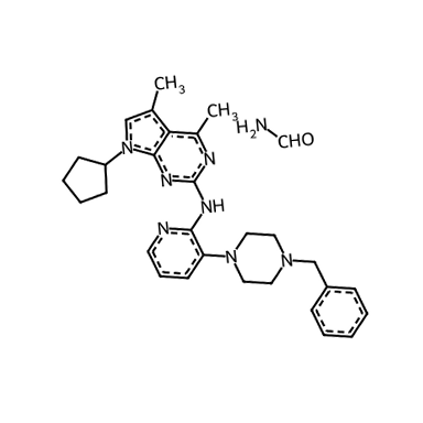 Cc1cn(C2CCCC2)c2nc(Nc3ncccc3N3CCN(Cc4ccccc4)CC3)nc(C)c12.NC=O